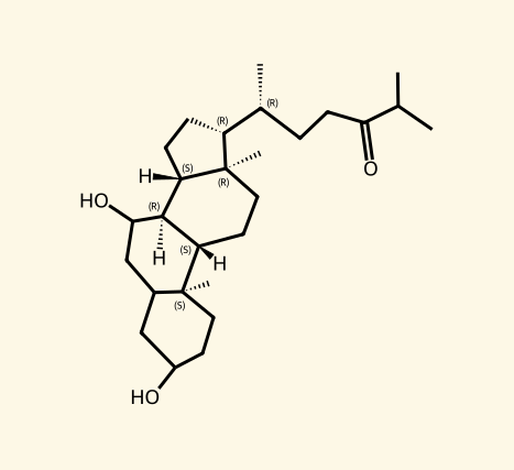 CC(C)C(=O)CC[C@@H](C)[C@H]1CC[C@H]2[C@@H]3C(O)CC4CC(O)CC[C@]4(C)[C@H]3CC[C@]12C